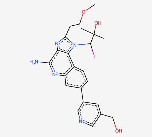 COCCc1nc2c(N)nc3cc(-c4cncc(CO)c4)ccc3c2n1C(I)C(C)(C)O